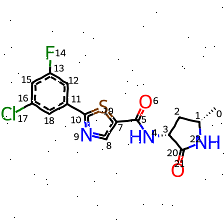 C[C@H]1C[C@@H](NC(=O)c2cnc(-c3cc(F)cc(Cl)c3)s2)C(=O)N1